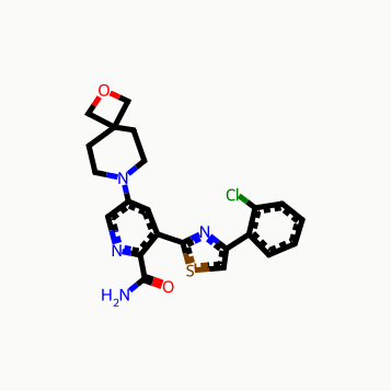 NC(=O)c1ncc(N2CCC3(CC2)COC3)cc1-c1nc(-c2ccccc2Cl)cs1